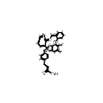 O=C(O)CCc1ccc(CC2(c3cccnc3OCc3ccccc3Cl)Nc3cc(F)c(F)cc3N2)cc1